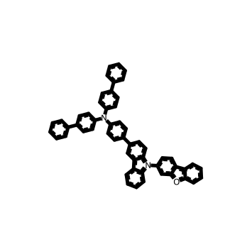 c1ccc(-c2ccc(N(c3ccc(-c4ccccc4)cc3)c3ccc(-c4ccc5c(c4)c4ccccc4n5-c4ccc5c(c4)oc4ccccc45)cc3)cc2)cc1